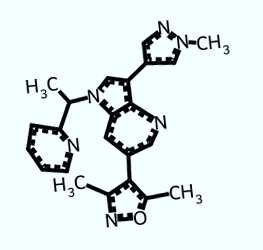 Cc1noc(C)c1-c1cnc2c(-c3cnn(C)c3)cn(C(C)c3ccccn3)c2c1